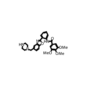 COc1cc(C(=O)Nc2ccccc2-c2nc3cc(CN4CCNCC4)ccc3o2)cc(OC)c1OC